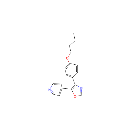 CCCCOc1ccc(-c2ncoc2-c2ccncc2)cc1